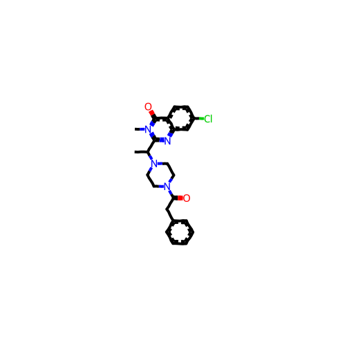 CC(c1nc2cc(Cl)ccc2c(=O)n1C)N1CCN(C(=O)Cc2ccccc2)CC1